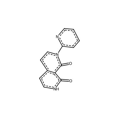 O=c1[nH]ccc2ccn(-c3ccccn3)c(=O)c12